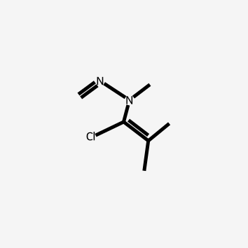 C=NN(C)C(Cl)=C(C)C